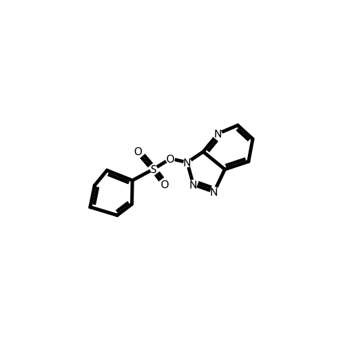 O=S(=O)(On1nnc2cccnc21)c1ccccc1